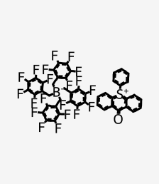 Fc1c(F)c(F)c(C[B-](Cc2c(F)c(F)c(F)c(F)c2F)(Cc2c(F)c(F)c(F)c(F)c2F)Cc2c(F)c(F)c(F)c(F)c2F)c(F)c1F.O=c1c2ccccc2[s+](-c2ccccc2)c2ccccc12